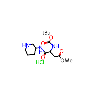 COC(=O)CC(NC(=O)OC(C)(C)C)C(=O)NC1CCCNC1.Cl